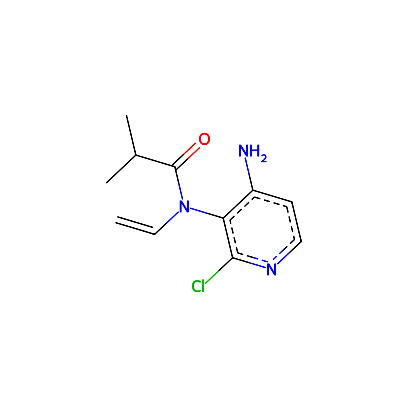 C=CN(C(=O)C(C)C)c1c(N)ccnc1Cl